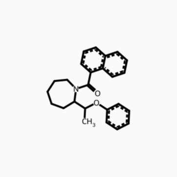 CC(Oc1ccccc1)C1CCCCCN1C(=O)c1cccc2ccccc12